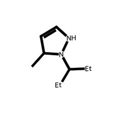 CCC(CC)N1NC=CC1C